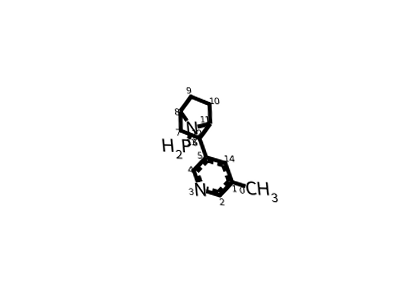 Cc1cncc(C2CC3CCC2N3P)c1